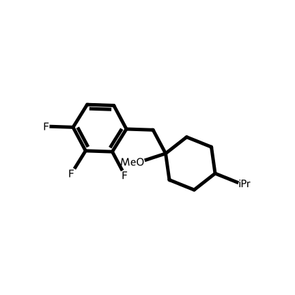 COC1(Cc2ccc(F)c(F)c2F)CCC(C(C)C)CC1